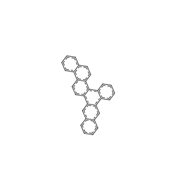 c1ccc2cc3c(cc2c1)c1ccccc1c1c2ccc4ccccc4c2ccc31